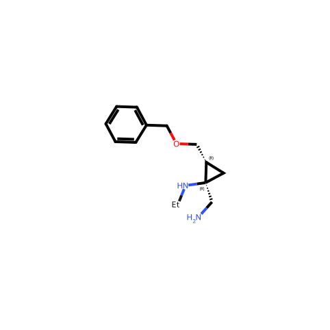 CCN[C@]1(CN)C[C@H]1COCc1ccccc1